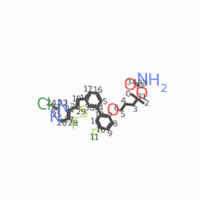 CC(C)(CCCOc1ccc(F)cc1-c1cccc2cc(-c3nc(Cl)ncc3F)sc12)OC(N)=O